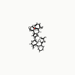 Cc1noc(C2CCCCN2c2nc(-c3cc(-c4ccon4)n(Cc4ccccc4F)n3)ncc2F)n1